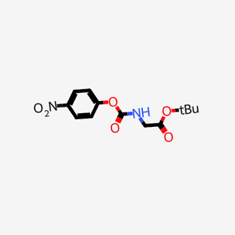 CC(C)(C)OC(=O)CNC(=O)Oc1ccc([N+](=O)[O-])cc1